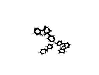 CC1(C2C=CC(N(c3ccc([C@@]4(C)CC=CC5C6=C(C=CCC6)OC54)cc3)C3C=CC(c4cccc5c4OC4C=CC=CC54)CC3)=CC2)CCCCC1